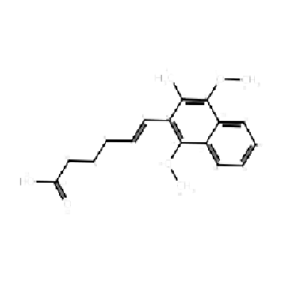 COc1c(C)c(/C=C/CCCC(=O)O)c(OC)c2ccccc12